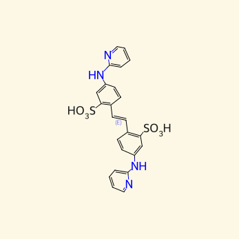 O=S(=O)(O)c1cc(Nc2ccccn2)ccc1/C=C/c1ccc(Nc2ccccn2)cc1S(=O)(=O)O